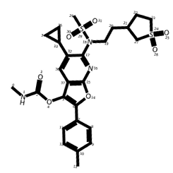 CNC(=O)Oc1c(-c2ccc(C)cc2)oc2nc(N(CCC3CCS(=O)(=O)C3)S(C)(=O)=O)c(C3CC3)cc12